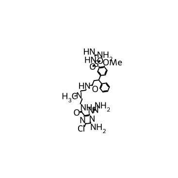 COc1ccc(C(CC(=O)NCCN(C)CCNC(=O)c2nc(Cl)c(N)nc2N=NN)c2ccccc2)cc1S(=O)(=O)NC(=N)N